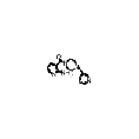 Nc1ncccc1C(=O)N1CCN(Cc2cccnc2)CC1